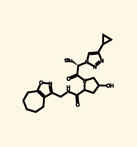 CC(C)(C)[C@@H](C(=O)N1CC(O)CC1C(=O)NCc1noc2c1CCCCC2)n1cc(C2CC2)nn1